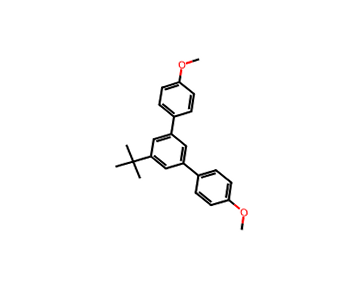 COc1ccc(-c2cc(-c3ccc(OC)cc3)cc(C(C)(C)C)c2)cc1